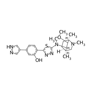 COC1[C@H](N(C)c2nnc(-c3ccc(-c4cn[nH]c4)cc3O)s2)[C@]2(C)CC[C@@]1(C)N(C)C2